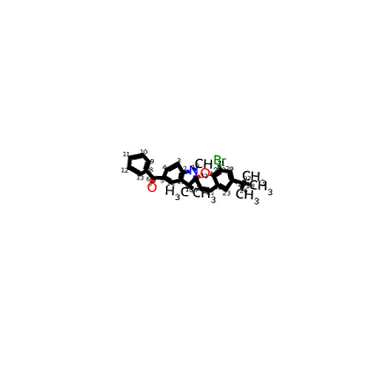 CN1c2ccc(C(=O)c3ccccc3)cc2C(C)(C)C12C=Cc1cc(C(C)(C)C)cc(Br)c1O2